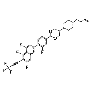 C=CCCC1CCC(C2COC(c3ccc(-c4cc(F)c5c(F)c(C#CC(F)(F)F)c(F)cc5c4)c(F)c3)OC2)CC1